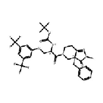 CN1N=C2CCN(C(=O)[C@@H](COc3cc(C(F)(F)F)cc(C(F)(F)F)c3)NC(=O)OC(C)(C)C)C[C@@]2(Cc2ccccc2)C1=O